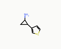 NC1CC1c1ccsc1